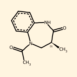 CC(=O)N1C[C@H](C)C(=O)Nc2ccccc21